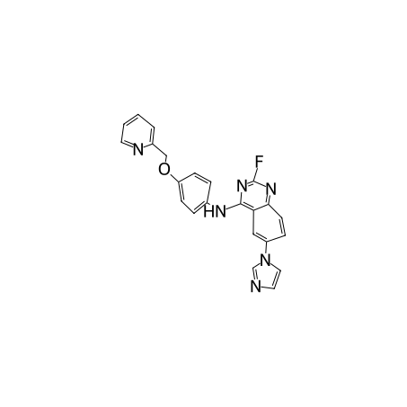 Fc1nc(Nc2ccc(OCc3ccccn3)cc2)c2cc(-n3ccnc3)ccc2n1